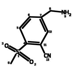 CS(=O)(=O)c1ccc(CN)cc1C#N